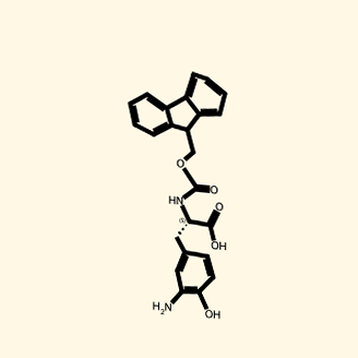 Nc1cc(C[C@H](NC(=O)OCC2c3ccccc3-c3ccccc32)C(=O)O)ccc1O